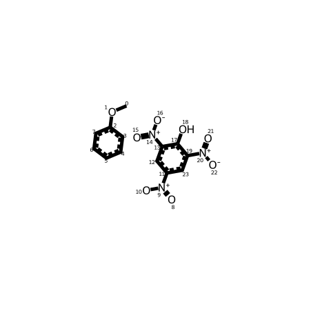 COc1ccccc1.O=[N+]([O-])c1cc([N+](=O)[O-])c(O)c([N+](=O)[O-])c1